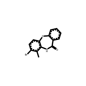 Cc1c(Br)ccc2c1NC(=O)c1ccccc1O2